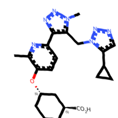 Cc1nc(-c2nnn(C)c2Cn2nncc2C2CC2)ccc1O[C@H]1CCC[C@H](C(=O)O)C1